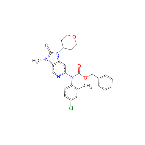 Cc1cc(Cl)ccc1N(C(=O)OCc1ccccc1)c1cc2c(cn1)n(C)c(=O)n2C1CCOCC1